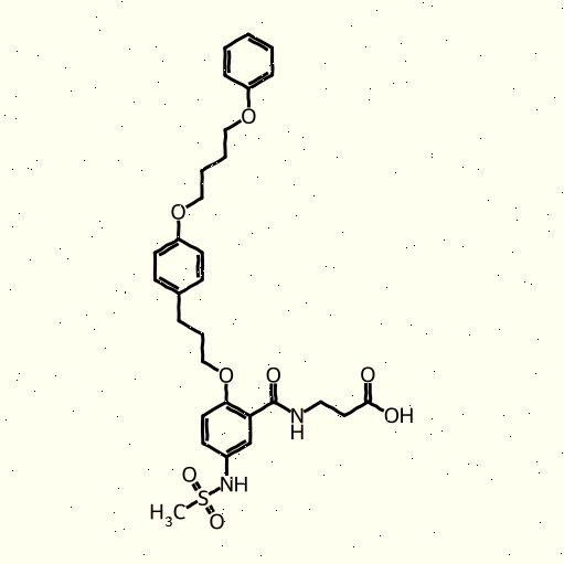 CS(=O)(=O)Nc1ccc(OCCCc2ccc(OCCCCOc3ccccc3)cc2)c(C(=O)NCCC(=O)O)c1